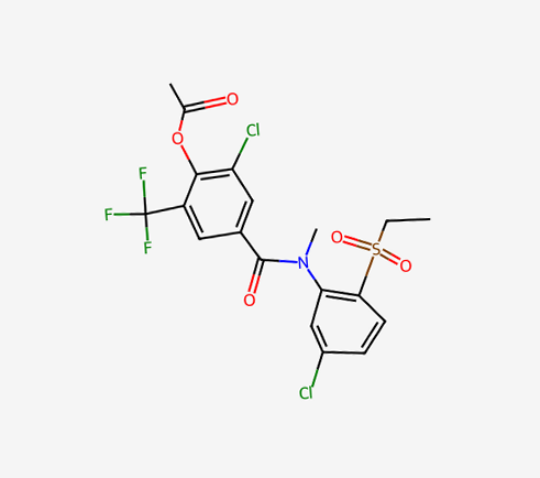 CCS(=O)(=O)c1ccc(Cl)cc1N(C)C(=O)c1cc(Cl)c(OC(C)=O)c(C(F)(F)F)c1